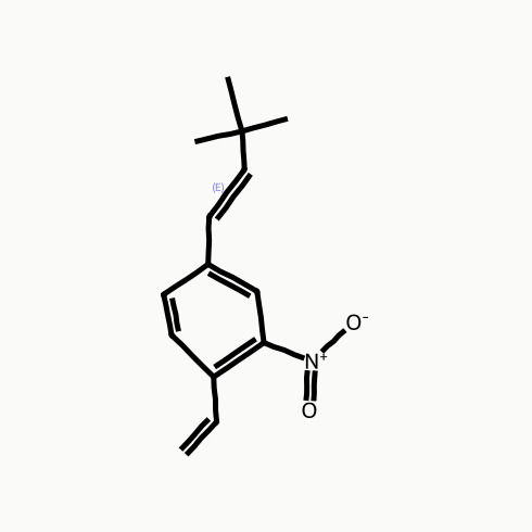 C=Cc1ccc(/C=C/C(C)(C)C)cc1[N+](=O)[O-]